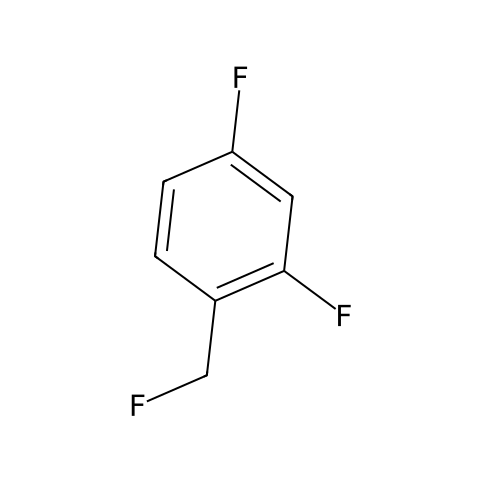 FCc1ccc(F)cc1F